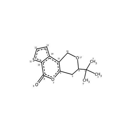 CC(C)(C)C1Cc2oc(=O)c3sccc3c2CO1